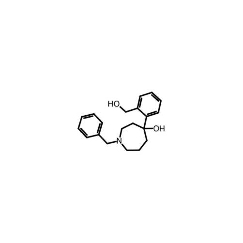 OCc1ccccc1C1(O)CCCN(Cc2ccccc2)CC1